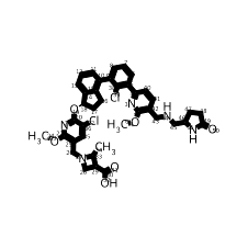 COc1nc(-c2cccc(-c3cccc4c3CC[C@@H]4Oc3nc(OC)c(CN4CC(C(=O)O)C4C)cc3Cl)c2Cl)ccc1CNCC1CCC(=O)N1